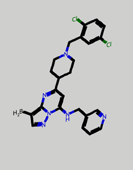 Bc1cnn2c(NCc3cccnc3)cc(C3CCN(Cc4cc(Cl)ccc4Cl)CC3)nc12